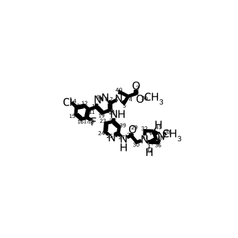 COC(=O)C1CN(c2nnc(-c3cc(Cl)ccc3F)cc2Nc2ccnc(NC(=O)CN3C[C@@H]4C[C@H]3CN4C)c2)C1